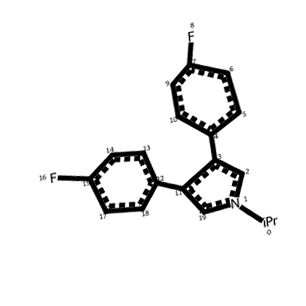 CC(C)n1[c]c(-c2ccc(F)cc2)c(-c2ccc(F)cc2)[c]1